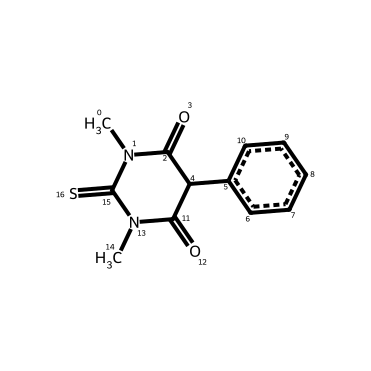 CN1C(=O)C(c2ccccc2)C(=O)N(C)C1=S